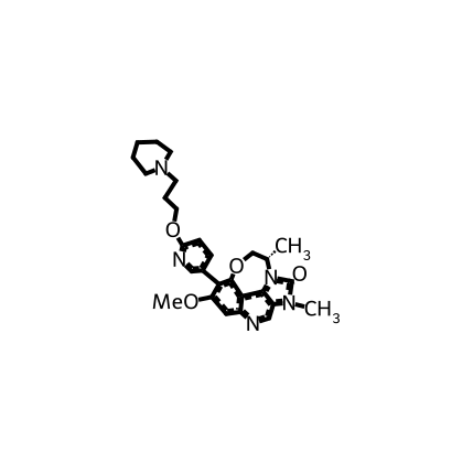 COc1cc2ncc3c4c2c(c1-c1ccc(OCCCN2CCCCC2)nc1)OC[C@H](C)n4c(=O)n3C